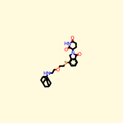 O=C1CCC(N2Cc3c(SCCOCCNC4C5CC6CC(C5)CC4C6)cccc3C2=O)C(=O)N1